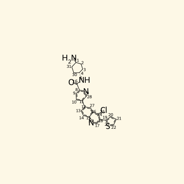 N[C@H]1CC[C@H](NC(=O)c2ccc(-c3ccc4ncc(-c5cccs5)c(Cl)c4c3)cn2)CC1